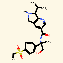 CCS(=O)(=O)c1ccc(C(C)(CO)NC(=O)c2cnc3c(c2)CN(C)C3C(C)C)cc1